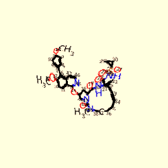 COc1ccc(-c2c(OC)ccc3c(OC4CC5C(=O)NC6(C(=O)NS(=O)(=O)C7CC7)CC6C=CCCCCN(C)C(=O)N5C4)nccc23)cc1